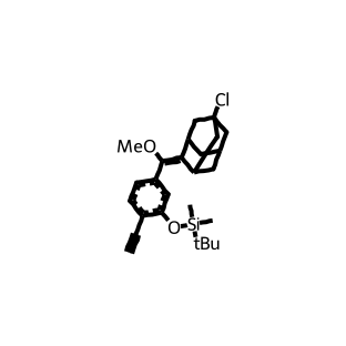 C#Cc1ccc(C(OC)=C2C3CC4CC2CC(Cl)(C4)C3)cc1O[Si](C)(C)C(C)(C)C